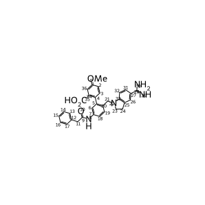 COc1ccc(-c2cc(NC(=O)Cc3ccccc3)ccc2CN2CCc3cc(C(=N)N)ccc32)c(C(=O)O)c1